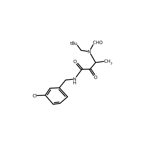 CC(C(=O)C(=O)NCc1cccc(Cl)c1)N(C=O)CC(C)(C)C